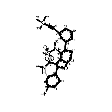 CNC(=O)c1c(-c2ccc(F)cc2)oc2ccc(-c3cccc(C#C[Si](C)(C)C)c3)c(N(C)S(C)(=O)=O)c12